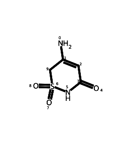 NC1=CC(=O)NS(=O)(=O)C1